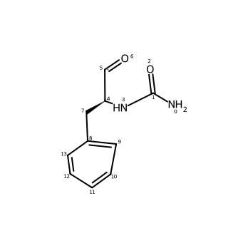 NC(=O)N[C@H]([C]=O)Cc1ccccc1